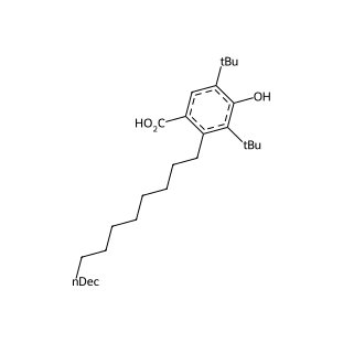 CCCCCCCCCCCCCCCCCCc1c(C(=O)O)cc(C(C)(C)C)c(O)c1C(C)(C)C